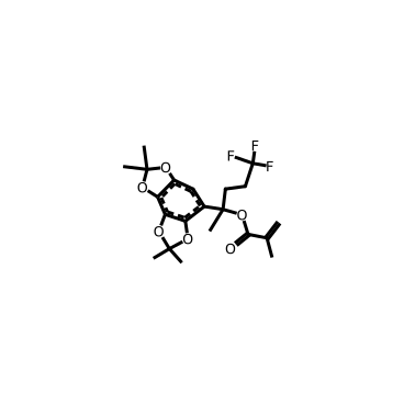 C=C(C)C(=O)OC(C)(CCC(F)(F)F)c1cc2c(c3c1OC(C)(C)O3)OC(C)(C)O2